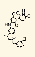 CC(CC(=O)Nc1ccnc(Cl)c1)c1cccc(NC2=CC(=O)N(C3CCC(=O)NC3=O)C2=O)c1